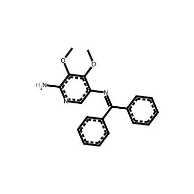 COc1c(N=C(c2ccccc2)c2ccccc2)cnc(N)c1OC